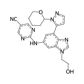 N#Cc1cnc(Nc2cc(-c3ccnn3C3CCCCO3)c3ncn(CCO)c3c2)nc1